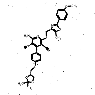 [C-]#[N+]c1c(N)nc(SCc2nc(-c3ccc(OC)cc3)oc2C)c(C#N)c1-c1ccc(OC[C@H]2COC(C)(C)O2)cc1